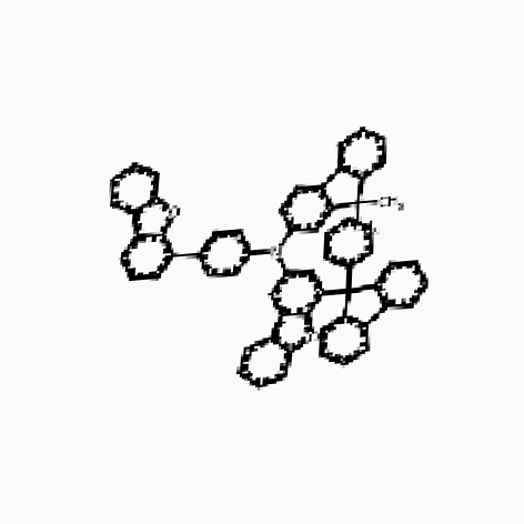 CC1(C)c2ccccc2-c2ccc(N(c3ccc(-c4cccc5c4oc4ccccc45)cc3)c3cc(C4(c5ccccc5)c5ccccc5-c5ccccc54)c4oc5ccccc5c4c3)cc21